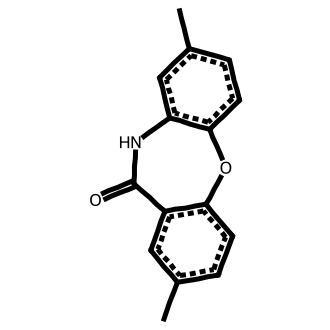 Cc1ccc2c(c1)NC(=O)c1cc(C)ccc1O2